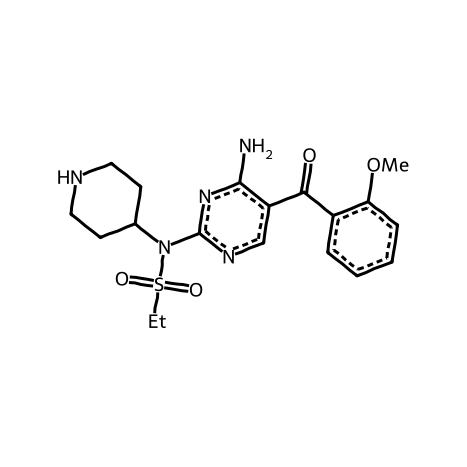 CCS(=O)(=O)N(c1ncc(C(=O)c2ccccc2OC)c(N)n1)C1CCNCC1